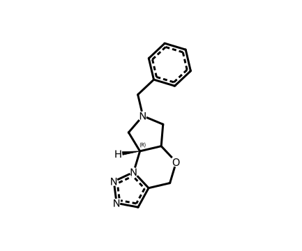 c1ccc(CN2CC3OCc4cnnn4[C@@H]3C2)cc1